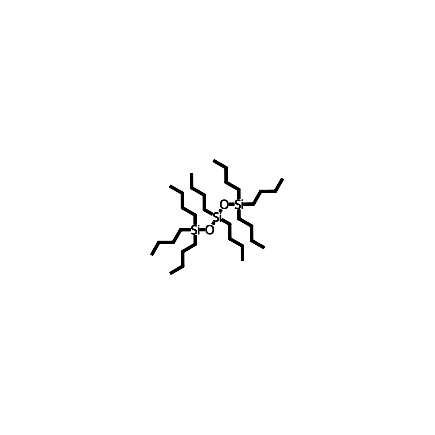 CCCC[Si](CCCC)(CCCC)O[Si](CCCC)(CCCC)O[Si](CCCC)(CCCC)CCCC